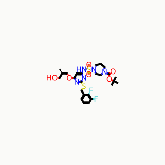 C[C@H](CO)COc1cc(NS(=O)(=O)N2CCCN(C(=O)OC(C)(C)C)CC2)nc(SCc2cccc(F)c2F)n1